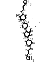 C/C=C/CCc1ccc(-c2ccc(-c3ccc(C4CCC(CCCCC)CC4)cc3F)cc2)c(F)c1F